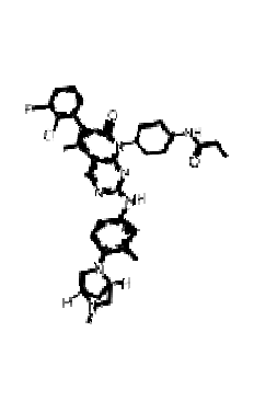 CCC(=O)N[C@H]1CC[C@@H](n2c(=O)c(-c3cccc(F)c3Cl)c(C)c3cnc(Nc4ccc(N5C[C@@H]6C[C@H]5CN6C)c(C)c4)nc32)CC1